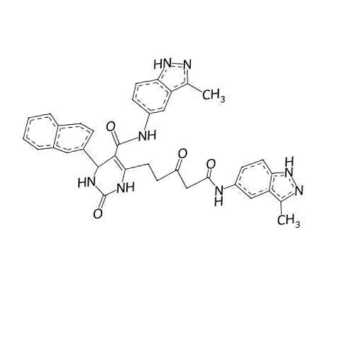 Cc1n[nH]c2ccc(NC(=O)CC(=O)CCC3=C(C(=O)Nc4ccc5[nH]nc(C)c5c4)C(c4ccc5ccccc5c4)NC(=O)N3)cc12